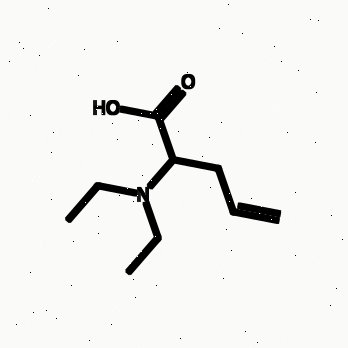 C=CCC(C(=O)O)N(CC)CC